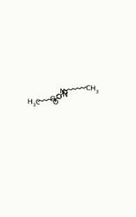 CCCCCCCCCCc1cnc(-c2ccc(C(=O)OCCCCCCC)cc2)nc1